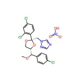 COC(c1ccc(Cl)cc1)[C@@H]1CO[C@@](Cn2cncn2)(c2ccc(Cl)cc2Cl)O1.O=[N+]([O-])O